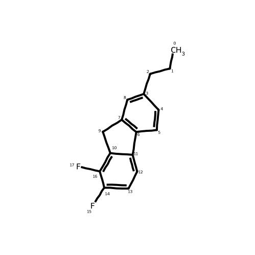 CCCc1ccc2c(c1)Cc1c-2ccc(F)c1F